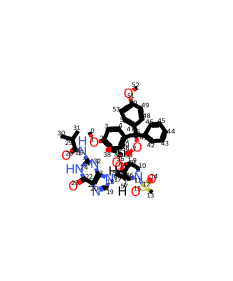 COc1ccc(C(OC[C@@]23CN(S(C)(=O)=O)[C@@H]([C@H](n4cnc5c(=O)[nH]c(NC(=O)C(C)C)nc54)O2)[C@@H]3O[Si](C)(C)C)(c2ccccc2)c2ccc(OC)cc2)cc1